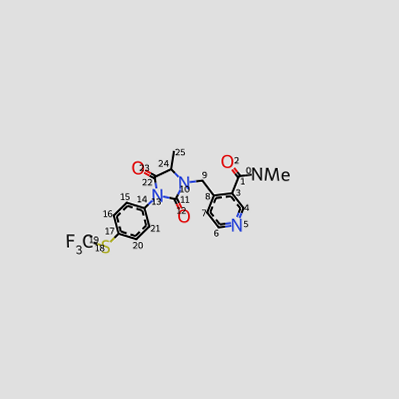 CNC(=O)c1cnccc1CN1C(=O)N(c2ccc(SC(F)(F)F)cc2)C(=O)C1C